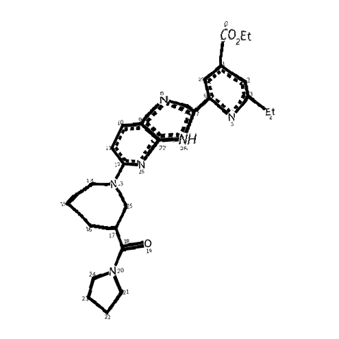 CCOC(=O)c1cc(CC)nc(-c2nc3ccc(N4CCCC(C(=O)N5CCCC5)C4)nc3[nH]2)c1